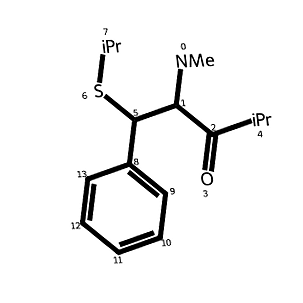 CNC(C(=O)C(C)C)C(SC(C)C)c1ccccc1